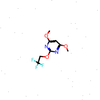 COc1cc(OC)nc(OCC(F)(F)F)n1